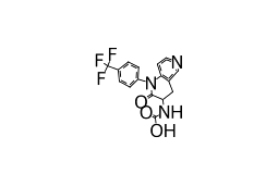 O=C(O)NC1Cc2cnccc2N(c2ccc(C(F)(F)F)cc2)C1=O